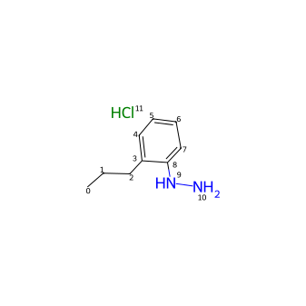 CCCc1ccccc1NN.Cl